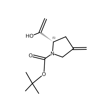 C=C1C[C@@H](C(=C)O)N(C(=O)OC(C)(C)C)C1